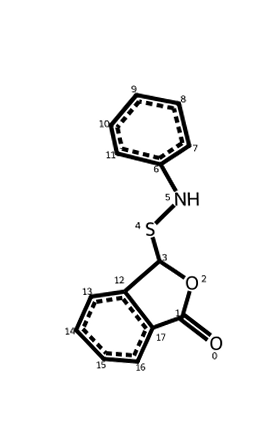 O=C1OC(SNc2ccccc2)c2ccccc21